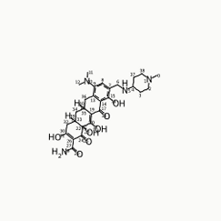 CN1CCC(NCc2cc(N(C)C)c3c(c2O)C(=O)C2=C(O)[C@]4(O)C(=O)C(C(N)=O)=C(O)C[C@@H]4C[C@@H]2C3)CC1